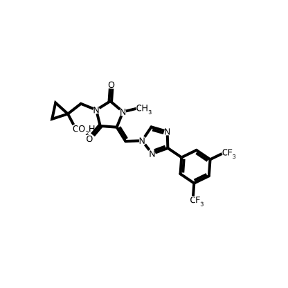 CN1C(=O)N(CC2(C(=O)O)CC2)C(=O)/C1=C/n1cnc(-c2cc(C(F)(F)F)cc(C(F)(F)F)c2)n1